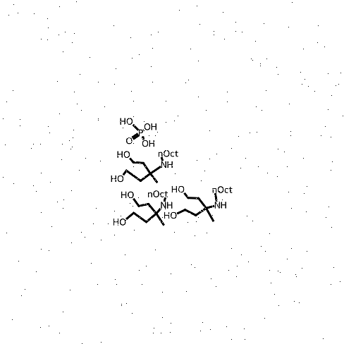 CCCCCCCCNC(C)(CCO)CCO.CCCCCCCCNC(C)(CCO)CCO.CCCCCCCCNC(C)(CCO)CCO.O=P(O)(O)O